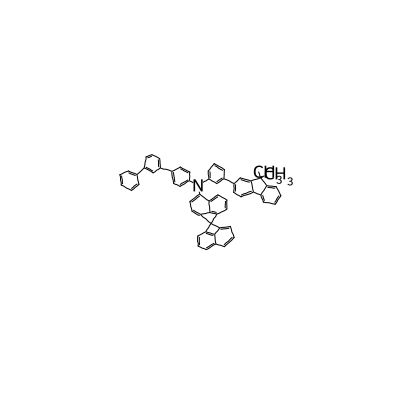 CC1(C)c2ccccc2-c2ccc(-c3cccc(N(c4ccc(-c5cccc(-c6ccccc6)c5)cc4)c4ccc5c6c(cccc46)C54c5cccc6cccc4c56)c3)cc21